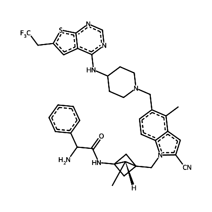 Cc1c(CN2CCC(Nc3ncnc4sc(CC(F)(F)F)cc34)CC2)ccc2c1cc(C#N)n2CC12CC(NC(=O)C(N)c3ccccc3)(C1)[C@H]2C